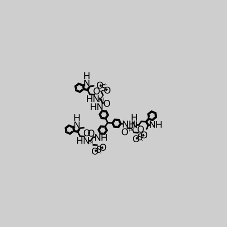 Cc1[nH]c2ccccc2c1CC(=O)N[C@@H](CCS(C)(=O)=O)C(=O)Nc1ccc(C(c2ccc(NC(=O)[C@H](CCS(C)(=O)=O)NC(=O)Cc3c(C)[nH]c4ccccc34)cc2)c2ccc(NC(=O)[C@H](CCS(C)(=O)=O)NC(=O)Cc3c(C)[nH]c4ccccc34)cc2)cc1